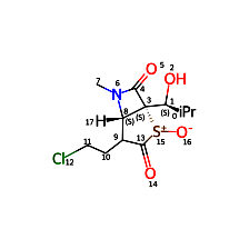 CC(C)[C@H](O)[C@]12C(=O)N(C)[C@H]1C(CCCl)C(=O)[S+]2[O-]